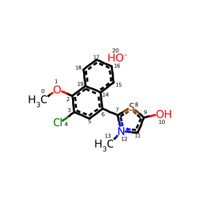 COc1c(Cl)cc(-c2sc(O)c[n+]2C)c2ccccc12.[OH-]